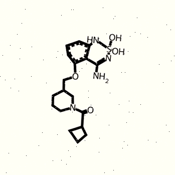 NC1=NS(O)(O)Nc2cccc(OCC3CCCN(C(=O)C4CCC4)C3)c21